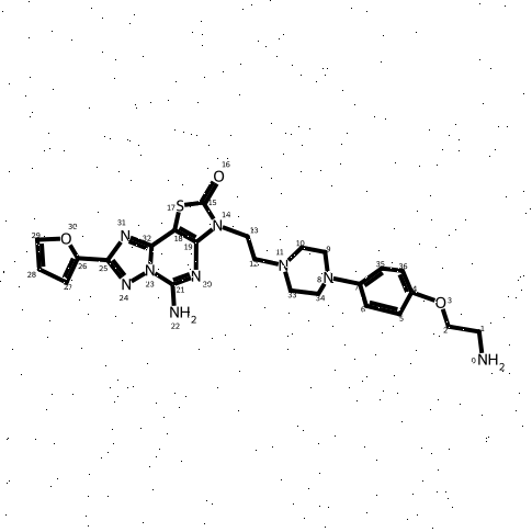 NCCOc1ccc(N2CCN(CCn3c(=O)sc4c3nc(N)n3nc(-c5ccco5)nc43)CC2)cc1